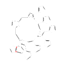 C1=Cc2cc3c(-c4cccs4)c(-c4cccs4)c(c(-c4cccs4)c4nc(c(-c5cccs5)c5[nH]c(cc1n2)cc5-c1cccs1)C(c1cccs1)=C4c1cccs1)n3-c1cccs1.[Pt]